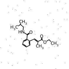 CCOC(=O)/C(C)=C/c1ccccc1C(=O)NCC(C)C